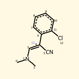 CN(C)/C=C(\C#N)c1ccccc1Cl